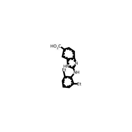 CCc1cccc(CC)c1Nc1nc2ccc(C(=O)O)cc2[nH]1